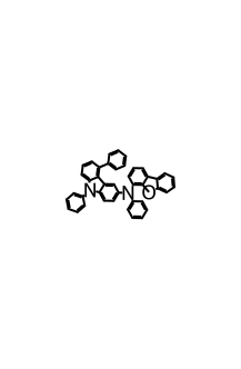 c1ccc(-c2cccc3c2c2cc(N(c4ccccc4)c4cccc5c4oc4ccccc45)ccc2n3-c2ccccc2)cc1